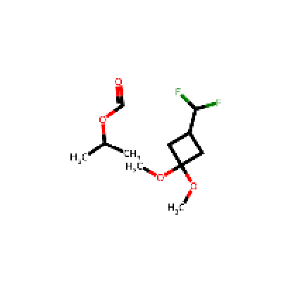 CC(C)OC=O.COC1(OC)CC(C(F)F)C1